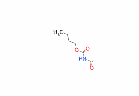 CCCCOC(=O)N[C]=O